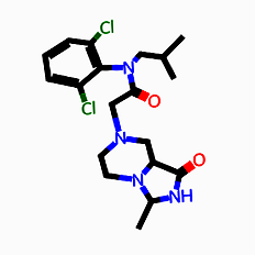 CC(C)CN(C(=O)CN1CCN2C(C)NC(=O)C2C1)c1c(Cl)cccc1Cl